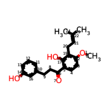 COc1ccc(C(=O)CCc2cccc(O)c2)c(O)c1CC=C(C)C